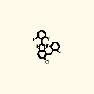 Fc1cccc(F)c1Cc1c(Cl)ccc2[nH]c(-c3c(F)cccc3F)nc12